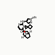 CCCn1cc(Nc2nccc(N3C[C@H]4CC[C@@H](C3)N4C(=O)[C@@H]3CC34CCC4)n2)cn1